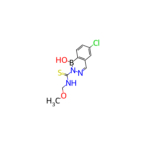 COCNC(=S)N1N=Cc2cc(Cl)ccc2B1O